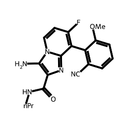 CCCNC(=O)c1nc2c(-c3c(C#N)cccc3OC)c(F)ccn2c1N